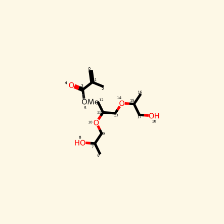 C=C(C)C(=O)OC.CC(O)COC(C)COC(C)CO